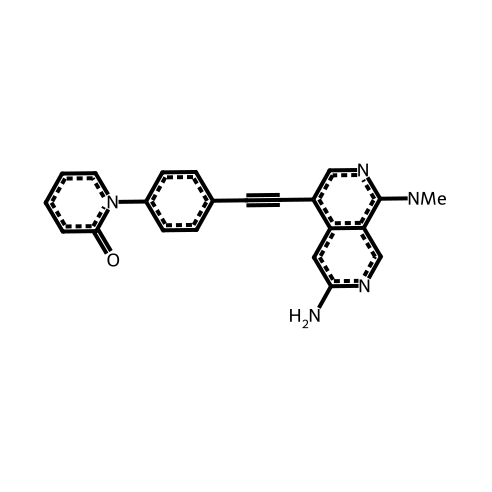 CNc1ncc(C#Cc2ccc(-n3ccccc3=O)cc2)c2cc(N)ncc12